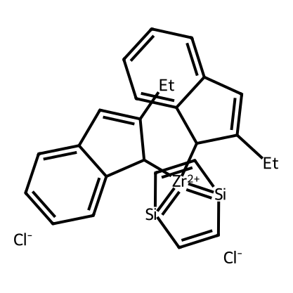 CCC1=Cc2ccccc2[CH]1[Zr+2]1([CH]2C(CC)=Cc3ccccc32)=[Si]2C=C[Si]=1C=C2.[Cl-].[Cl-]